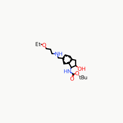 CCOCCCNCc1ccc2c(c1)C(NC(=O)OC(C)(C)C)C(O)C2